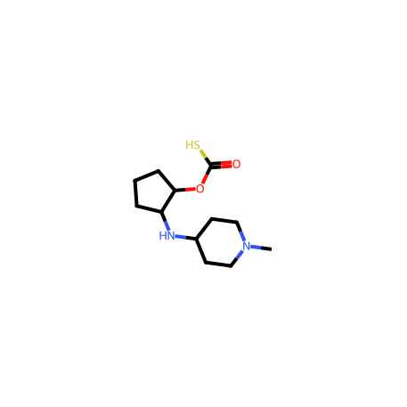 CN1CCC(NC2CCCC2OC(=O)S)CC1